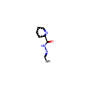 CCCC=NNC(=O)c1ccccn1